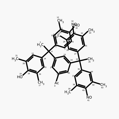 CC(=O)c1cc(C(C)(c2ccc(N=O)c(C)c2)c2cc(C)c(O)c(C)c2)cc(C(C)(c2cc(C)c(N=O)c(C)c2)c2cc(C)c(N=O)c(C)c2)c1